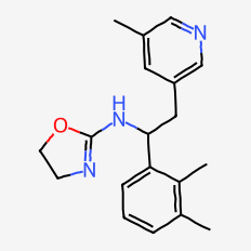 Cc1cncc(CC(NC2=NCCO2)c2cccc(C)c2C)c1